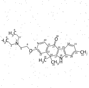 CCN(CC)CCOc1ccc2c(c1)C(C)(C)c1[nH]c3cc(C)ccc3c1C2=O